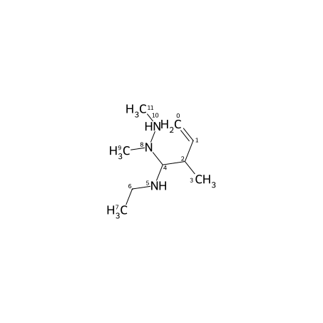 C=CC(C)C(NCC)N(C)NC